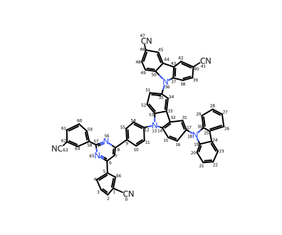 N#Cc1cccc(-c2cc(-c3ccc(-n4c5ccc(-n6c7ccccc7c7ccccc76)cc5c5cc(-n6c7ccc(C#N)cc7c7cc(C#N)ccc76)ccc54)cc3)nc(-c3cccc(C#N)c3)n2)c1